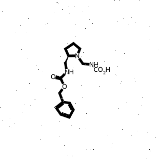 O=C(O)NCN1CCC[C@@H]1CNC(=O)OCc1ccccc1